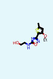 CCOc1cc(C)sc1-c1noc(NCCO)n1